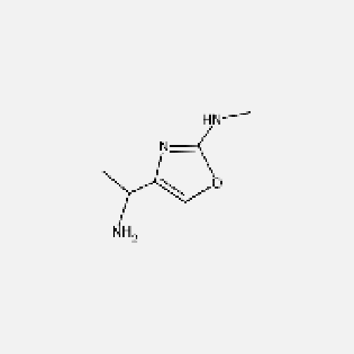 CNc1nc(C(C)N)co1